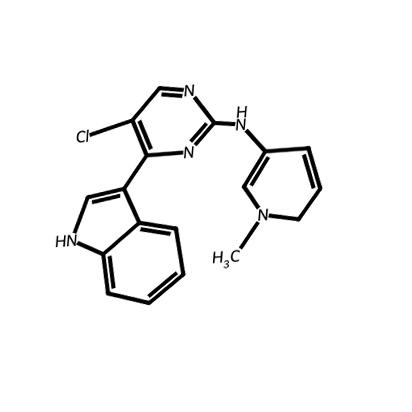 CN1C=C(Nc2ncc(Cl)c(-c3c[nH]c4ccccc34)n2)C=CC1